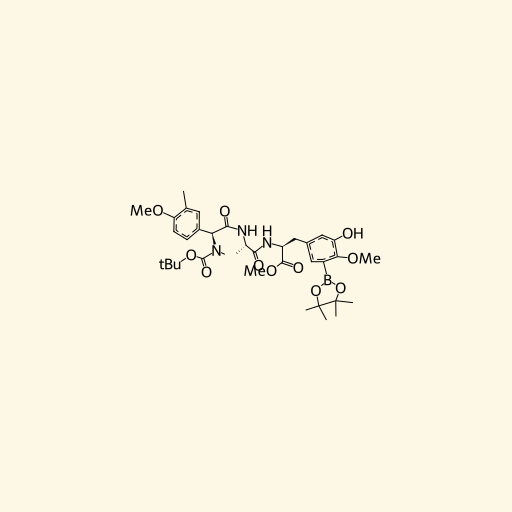 COC(=O)[C@H](Cc1cc(O)c(OC)c(B2OC(C)(C)C(C)(C)O2)c1)NC(=O)[C@H](C)NC(=O)[C@H](c1ccc(OC)c(C)c1)N(C)C(=O)OC(C)(C)C